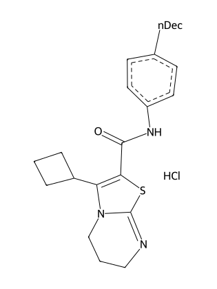 CCCCCCCCCCc1ccc(NC(=O)C2=C(C3CCC3)N3CCCN=C3S2)cc1.Cl